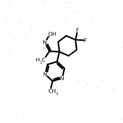 C/C(=N/O)C1(c2cnc(C)nc2)CCC(F)(F)CC1